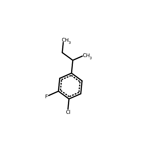 CCC(C)c1ccc(Cl)c(F)c1